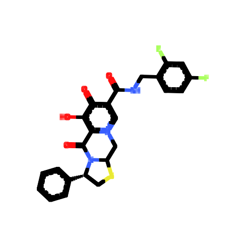 O=C(NCc1ccc(F)cc1F)c1cn2c(c(O)c1=O)C(=O)N1C(C2)SC[C@@H]1c1ccccc1